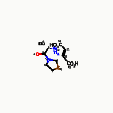 CC[C@H](C)[C@H](N)C(=O)N1CCSC1.O=C(O)/C=C/C(=O)O